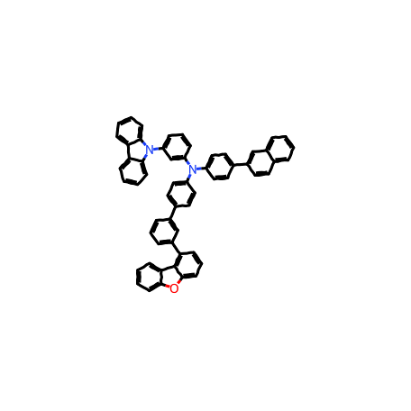 c1cc(-c2ccc(N(c3ccc(-c4ccc5ccccc5c4)cc3)c3cccc(-n4c5ccccc5c5ccccc54)c3)cc2)cc(-c2cccc3oc4ccccc4c23)c1